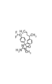 C=CCC(C)c1cccc(C2(c3ccc(OC(F)F)cc3)N=C(N)N(C)C2=O)c1